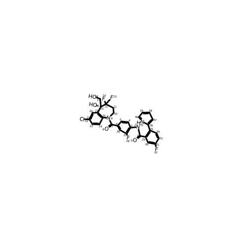 O=C(Nc1ccc(C(=O)N2CCC(F)(F)[C@](O)(CO)c3cc(Cl)ccc32)cc1F)c1cc(F)ccc1-c1ccccn1